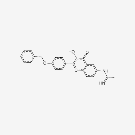 CC(=N)Nc1ccc2oc(-c3ccc(OCc4ccccc4)cc3)c(O)c(=O)c2c1